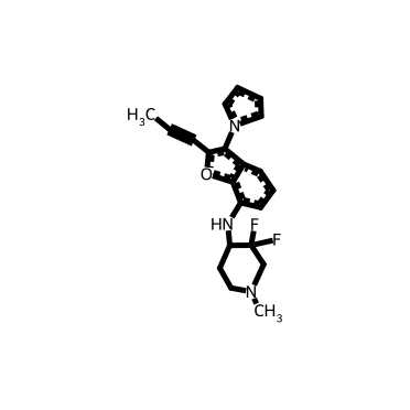 CC#Cc1oc2c(NC3CCN(C)CC3(F)F)cccc2c1-n1cccc1